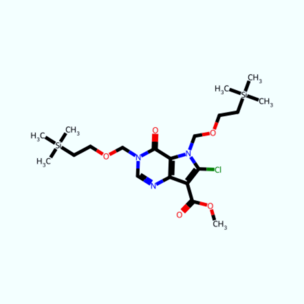 COC(=O)c1c(Cl)n(COCC[Si](C)(C)C)c2c(=O)n(COCC[Si](C)(C)C)cnc12